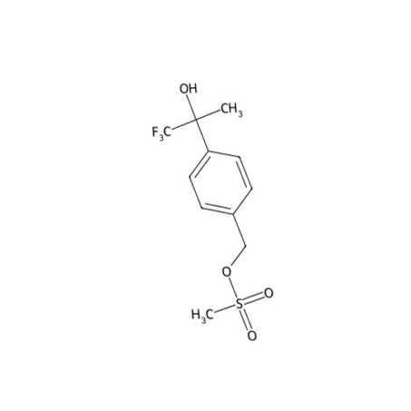 CC(O)(c1ccc(COS(C)(=O)=O)cc1)C(F)(F)F